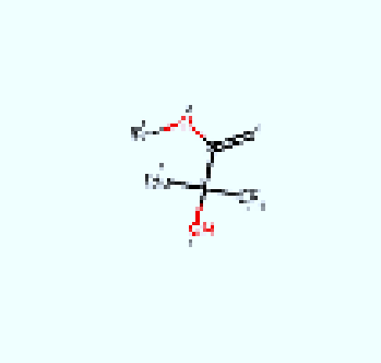 C=C(OC(C)C)C(O)(C(C)(C)C)C(F)(F)F